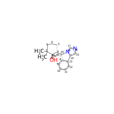 CC1(C)CCC[C@H]([C@H]2c3ccccc3-c3cncn32)[C@H]1O